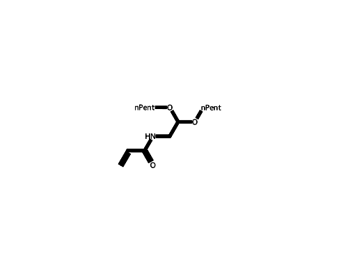 C=CC(=O)NCC(OCCCCC)OCCCCC